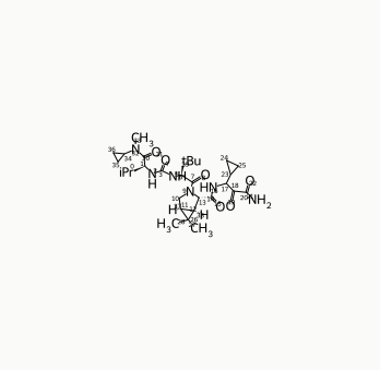 CC(C)[C@H](NC(=O)N[C@H](C(=O)N1C[C@H]2[C@@H]([C@H]1C(=O)NC(C(=O)C(N)=O)C1CC1)C2(C)C)C(C)(C)C)C(=O)N(C)C1CC1